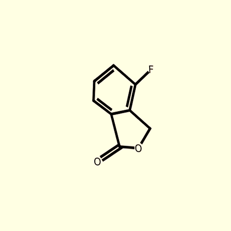 O=C1OCc2c(F)cccc21